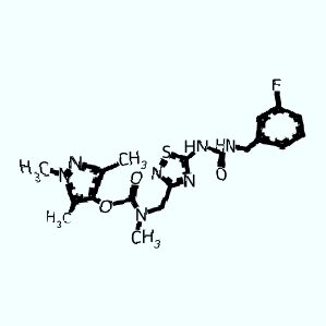 Cc1nn(C)c(C)c1OC(=O)N(C)Cc1nsc(NC(=O)NCc2cccc(F)c2)n1